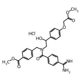 COC(=O)COc1ccc(C(O)CN(Cc2ccc(C(=O)OC)cc2)C(=O)c2ccc(C(=N)N)cc2)cc1.Cl